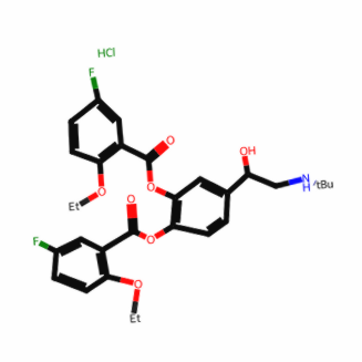 CCOc1ccc(F)cc1C(=O)Oc1ccc(C(O)CNC(C)(C)C)cc1OC(=O)c1cc(F)ccc1OCC.Cl